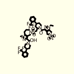 CCn1nc(C(=O)N2CCC(c3ccccc3C(F)(F)F)CC2CS(=O)(=O)N2CCCc3c(c(C(O)N4CCC(c5ccccc5C(F)(F)F)CC4)nn3C)C2)c2c1CN(S(C)(=O)=O)C2